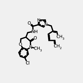 C=C/C=C\C(=C/C)Cn1cnc(C(=O)NCC2COc3ccc(Cl)cc3N(C)C2=O)c1